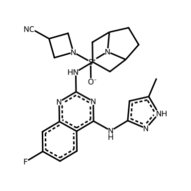 Cc1cc(Nc2nc(NC3CC4CCC(C3)N4[S+]([O-])N3CC(C#N)C3)nc3cc(F)ccc23)n[nH]1